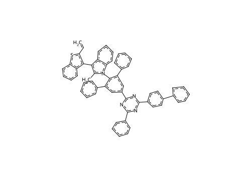 C=Cc1sc2ccccc2c1-c1c(C)n(-c2c(-c3ccccc3)cc(-c3nc(-c4ccccc4)nc(-c4ccc(-c5ccccc5)cc4)n3)cc2-c2ccccc2)c2ccccc12